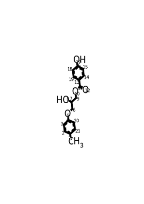 Cc1ccc(OCC(O)COC(=O)c2ccc(O)cc2)cc1